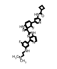 CN(C)CCNc1cc(F)cc(-c2nccc3[nH]c(-c4n[nH]c5ccc(-c6cncc(NC(=O)C7CCC7)c6)c(F)c45)nc23)c1